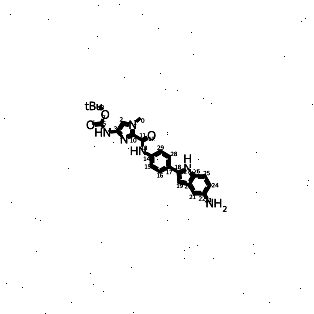 Cn1cc(NC(=O)OC(C)(C)C)nc1C(=O)Nc1ccc(-c2cc3cc(N)ccc3[nH]2)cc1